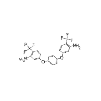 Nc1cc(Oc2ccc(Oc3ccc(C(F)(F)F)c(N)c3)cc2)ccc1C(F)(F)F